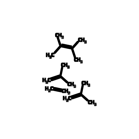 C=C.C=C(C)C.C=C(C)C.CC(C)=C(C)C